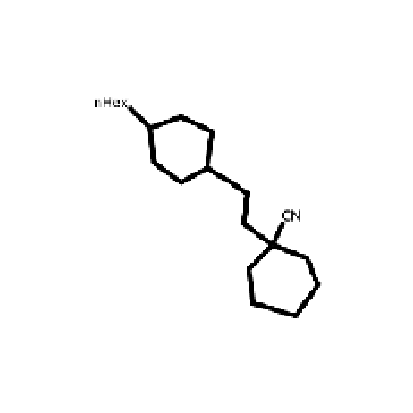 CCCCCCC1CCC(CCC2(C#N)CCCCC2)CC1